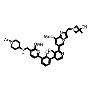 COc1nc(-c2cccc(-c3ccnc(-c4cc(OC)c5nc(CN6CC(C)(C#N)C6)cn5c4)c3Cl)c2Cl)ccc1CNC1CCN(C(C)=O)CC1